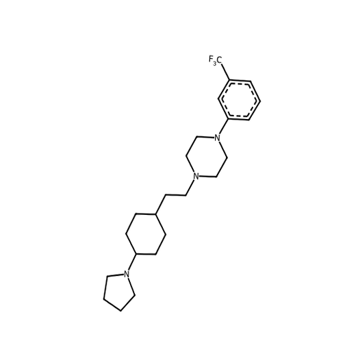 FC(F)(F)c1cccc(N2CCN(CCC3CCC(N4CCCC4)CC3)CC2)c1